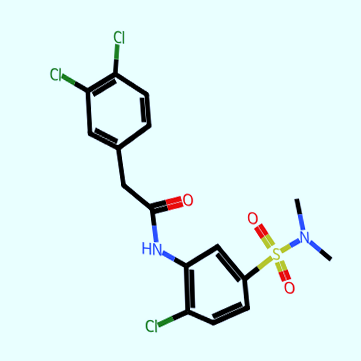 CN(C)S(=O)(=O)c1ccc(Cl)c(NC(=O)Cc2ccc(Cl)c(Cl)c2)c1